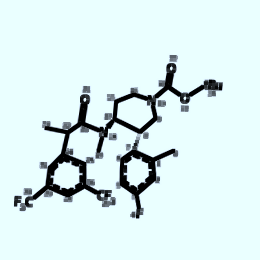 Cc1cc(F)ccc1[C@H]1CN(C(=O)OC(C)(C)C)CC[C@@H]1N(C)C(=O)C(C)c1cc(C(F)(F)F)cc(C(F)(F)F)c1